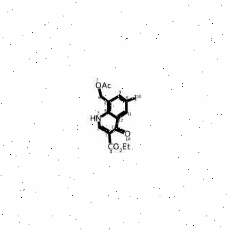 CCOC(=O)c1c[nH]c2c(COC(C)=O)cc(I)cc2c1=O